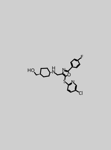 OC[C@H]1CC[C@H](NCc2nc(-c3ccc(F)cc3)oc2Sc2ccc(Cl)cn2)CC1